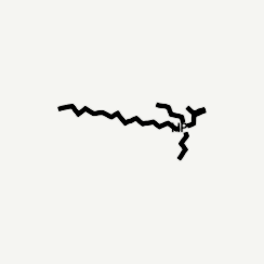 C=C(C)C[PH](CCCC)(CCCC)CCCCCCCCCCCCCCC